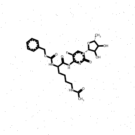 CC(=O)NCCCCC(NC(=O)OCc1ccccc1)C(=O)Nc1nc(=O)n([C@@H]2O[C@H](C)C(O)C2O)cc1F